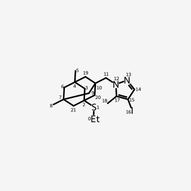 CCSC12CC3(C)CC(C)(CC(Cn4ncc(I)c4C)(C3)C1)C2